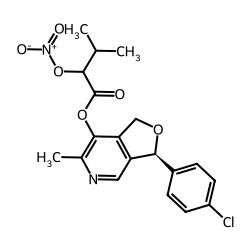 Cc1ncc2c(c1OC(=O)C(O[N+](=O)[O-])C(C)C)CO[C@H]2c1ccc(Cl)cc1